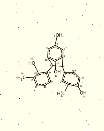 Cc1cc(C2c3cc(O)cc(c3O)C2c2cccc(C)c2O)ccc1O